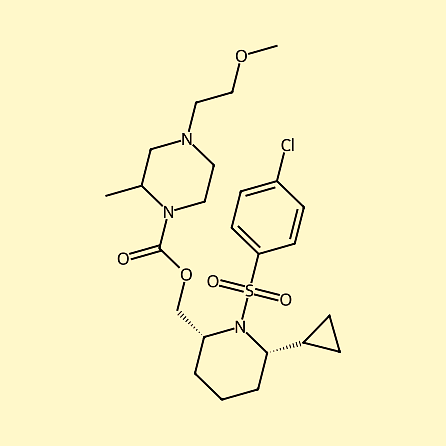 COCCN1CCN(C(=O)OC[C@H]2CCC[C@@H](C3CC3)N2S(=O)(=O)c2ccc(Cl)cc2)C(C)C1